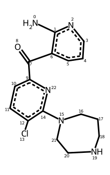 Nc1ncccc1C(=O)c1ccc(Cl)c(N2CCCNCC2)n1